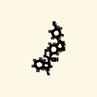 Cn1cc(C(O)(CF)c2ccc3c(c2)nnn3-c2ccc(F)cc2)c2ccccc21